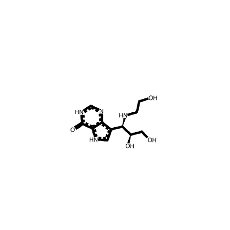 O=c1[nH]cnc2c([C@@H](NCCO)[C@H](O)CO)c[nH]c12